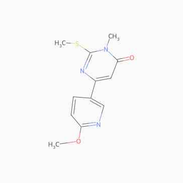 COc1ccc(-c2cc(=O)n(C)c(SC)n2)cn1